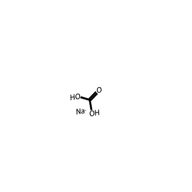 O=C(O)O.[Na]